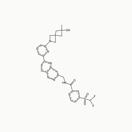 CC1(O)CC2(CN(c3cccc(-c4ccc5cnc(CNC(=O)c6cccc(S(=O)(=O)C(F)F)c6)cc5n4)n3)C2)C1